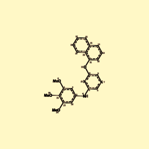 COc1cc(Nc2cncc(Oc3cccc4ccccc34)n2)cc(OC)c1OC